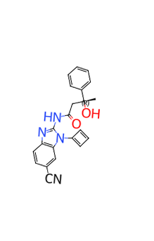 C[C@@](O)(CC(=O)Nc1nc2ccc(C#N)cc2n1C1=CC=C1)c1ccccc1